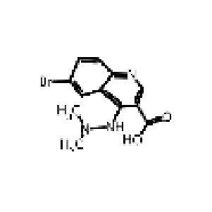 CN(C)Nc1c(C(=O)O)cnc2ccc(Br)cc12